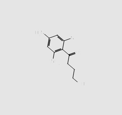 CCCCC(=O)c1c(N)cc(N)cc1N